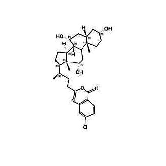 C[C@H](CCc1nc2cc(Cl)ccc2c(=O)o1)[C@H]1CC[C@H]2[C@H]3C(C[C@H](O)[C@]12C)[C@@]1(C)CC[C@@H](O)C[C@H]1C[C@H]3O